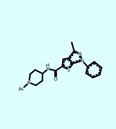 CC(=O)N1CCC(NC(=O)c2cc3c(C)nn(-c4ccccc4)c3s2)CC1